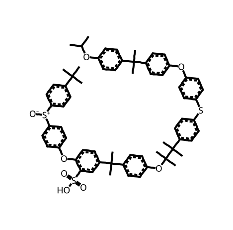 CC(C)Oc1ccc(C(C)(C)c2ccc(Oc3ccc(Sc4ccc(C(C)(C)C(C)(C)Oc5ccc(C(C)(C)c6ccc(Oc7ccc([S+]([O-])c8ccc(C(C)(C)C)cc8)cc7)c(S(=O)(=O)O)c6)cc5)cc4)cc3)cc2)cc1